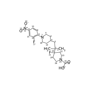 CC(C)(CC1CCN(c2ccc([N+](=O)[O-])cc2F)CC1)C1(F)CCN(C(=O)O)CC1